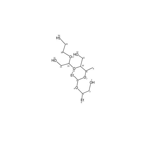 CCC(CO)OC(CC)OC(C)C(CO)OC(CO)OCCS